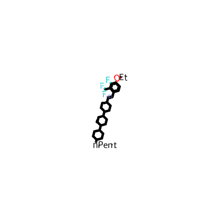 CCCCCC1CCC(C2CCC(C3CCC(/C=C/c4ccc(OCC)c(F)c4C(F)F)CC3)CC2)CC1